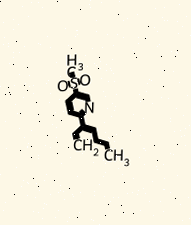 C=CC(=CCCC)c1ccc(S(C)(=O)=O)cn1